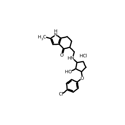 Cc1cc2c([nH]1)CCC(CNC1CCC(Oc3ccc(Cl)cc3)C1O)C2=O.Cl